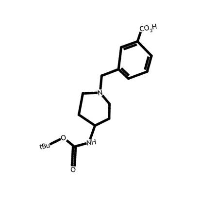 CC(C)(C)OC(=O)NC1CCN(Cc2cccc(C(=O)O)c2)CC1